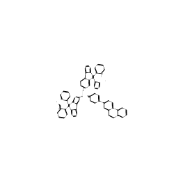 c1ccc2c(c1)Sc1ccccc1C21c2ccccc2-c2cc(N(c3ccc(-c4ccc5c(ccc6ccccc65)c4)cc3)c3ccc4c(c3)C3(c5ccccc5Sc5ccccc53)c3ccccc3-4)ccc21